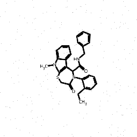 CCc1ccccc1N1C(=O)CSc2c(c3ccccc3n2C)C1C(=O)NCc1ccccc1